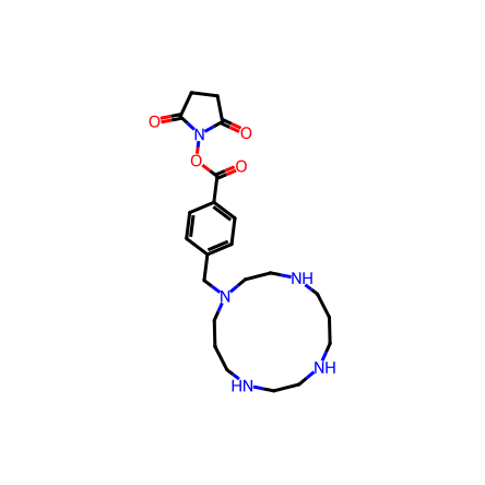 O=C(ON1C(=O)CCC1=O)c1ccc(CN2CCCNCCNCCCNCC2)cc1